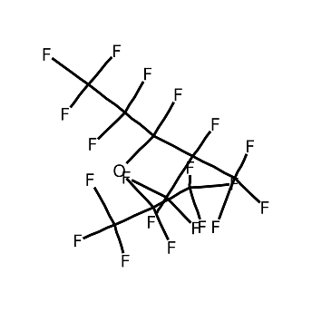 FC(F)(F)C(F)(F)C(F)(OC(F)(C(F)(F)F)C(F)(F)F)C(F)(C(F)(F)F)C(F)(F)F